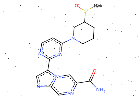 CN[S+]([O-])C1CCCN(c2ccnc(-c3cnc4cnc(C(N)=O)cn34)n2)C1